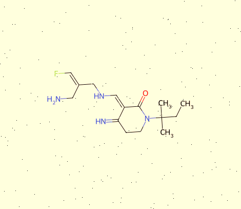 CCC(C)(C)N1CCC(=N)/C(=C\NC/C(=C/F)CN)C1=O